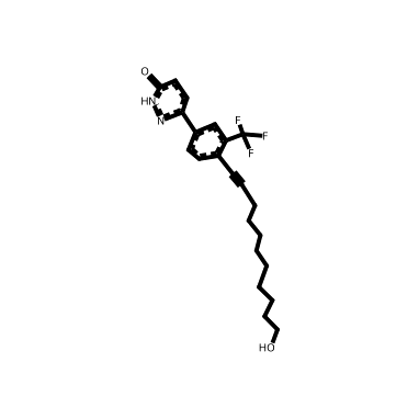 O=c1ccc(-c2ccc(C#CCCCCCCCCCO)c(C(F)(F)F)c2)n[nH]1